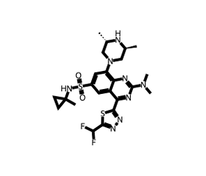 C[C@H]1CN(c2cc(S(=O)(=O)NC3(C)CC3)cc3c(-c4nnc(C(F)F)s4)nc(N(C)C)nc23)C[C@H](C)N1